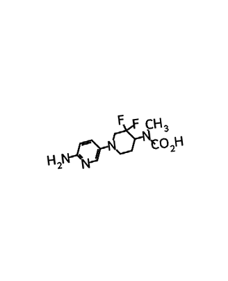 CN(C(=O)O)C1CCN(c2ccc(N)nc2)CC1(F)F